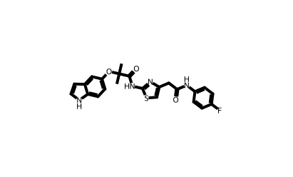 CC(C)(Oc1ccc2[nH]ccc2c1)C(=O)Nc1nc(CC(=O)Nc2ccc(F)cc2)cs1